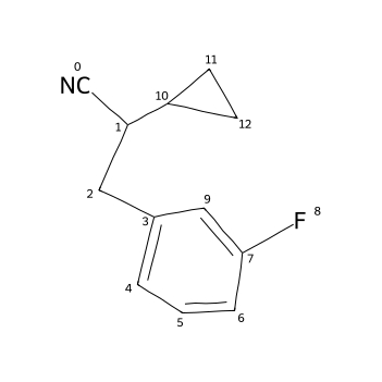 N#CC(Cc1cccc(F)c1)C1CC1